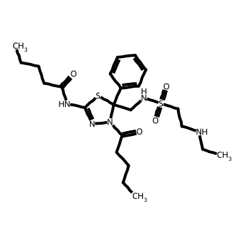 CCCCC(=O)NC1=NN(C(=O)CCCC)C(CNS(=O)(=O)CCNCC)(c2ccccc2)S1